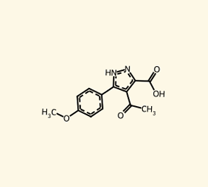 COc1ccc(-c2[nH]nc(C(=O)O)c2C(C)=O)cc1